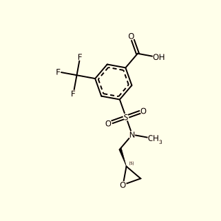 CN(C[C@H]1CO1)S(=O)(=O)c1cc(C(=O)O)cc(C(F)(F)F)c1